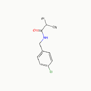 CC(C)C(C#N)C(=O)NCc1ccc(Cl)cc1